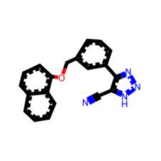 N#Cc1[nH]nnc1-c1cccc(COc2cccc3ccccc23)c1